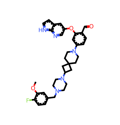 COc1cc(CN2CCN(C3CC4(CCN(c5ccc(C=O)c(Oc6cnc7[nH]ccc7c6)c5)CC4)C3)CC2)ccc1F